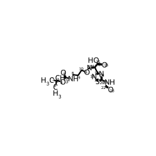 CC(C)(C)OC(=O)NCCCO/N=C(/C(=O)O)c1nsc(NC=O)n1